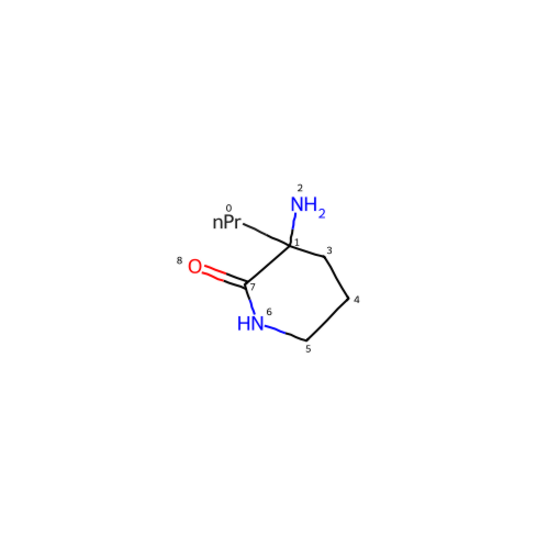 CCCC1(N)CCCNC1=O